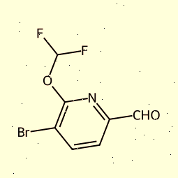 O=Cc1ccc(Br)c(OC(F)F)n1